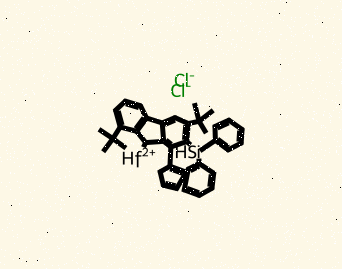 CC(C)(C)c1cccc2c1[CH]([Hf+2])c1c-2cc(C(C)(C)C)c([SiH](c2ccccc2)c2ccccc2)c1C1=CC=CC1.[Cl-].[Cl-]